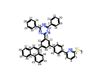 CSc1cccc(-c2ccc(-c3cc(-c4nc(-c5ccccc5)nc(-c5ccccc5)n4)cc(-c4cc5ccccc5c5ccccc45)c3)cc2)n1